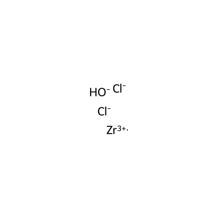 [Cl-].[Cl-].[OH-].[Zr+3]